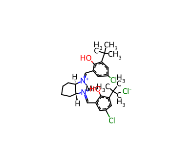 CC(C)(C)c1cc(Cl)cc(C=[N+]2[Mn][N+](=Cc3cc(Cl)cc(C(C)(C)C)c3O)[C@@H]3CCCC[C@H]32)c1O.[Cl-]